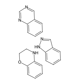 c1ccc2[nH]ncc2c1.c1ccc2c(c1)NCCO2.c1ccc2ncncc2c1